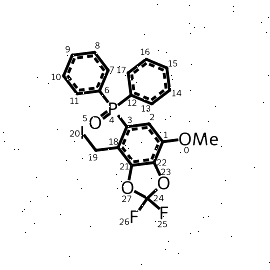 COc1cc(P(=O)(c2ccccc2)c2ccccc2)c(CI)c2c1OC(F)(F)O2